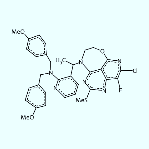 COc1ccc(CN(Cc2ccc(OC)cc2)c2ncccc2C(C)N2CCOc3nc(Cl)c(F)c4nc(SC)nc2c34)cc1